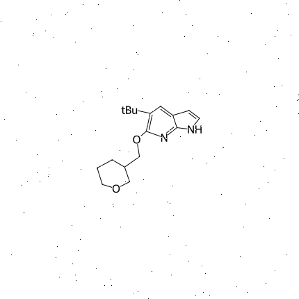 CC(C)(C)c1cc2cc[nH]c2nc1OCC1CCCOC1